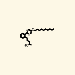 CCCCCCCCCCOc1cnc(-c2ccccc2CCCC(C)O)nc1